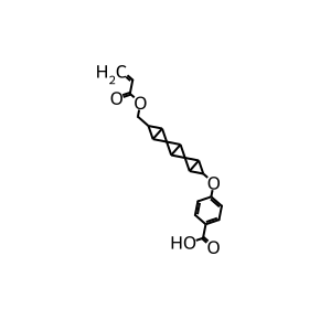 C=CC(=O)OCC1C2C1C21C2C1C21C2C(Oc3ccc(C(=O)O)cc3)C21